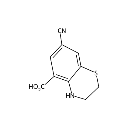 N#Cc1cc2c(c(C(=O)O)c1)NCCS2